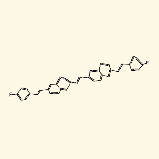 Fc1ccc(/C=C/c2ccc3cc(/C=C/c4ccc5cc(/C=C/c6ccc(F)cc6)ccc5c4)ccc3c2)cc1